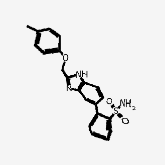 Cc1ccc(OCc2nc3cc(-c4ccccc4S(N)(=O)=O)ccc3[nH]2)cc1